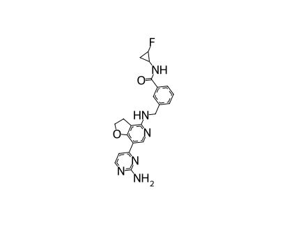 Nc1nccc(-c2cnc(NCc3cccc(C(=O)NC4CC4F)c3)c3c2OCC3)n1